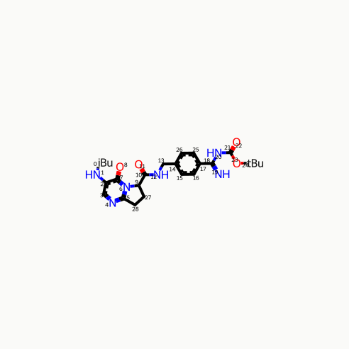 CCC(C)Nc1cnc2n(c1=O)C(C(=O)NCc1ccc(C(=N)NC(=O)OC(C)(C)C)cc1)CC2